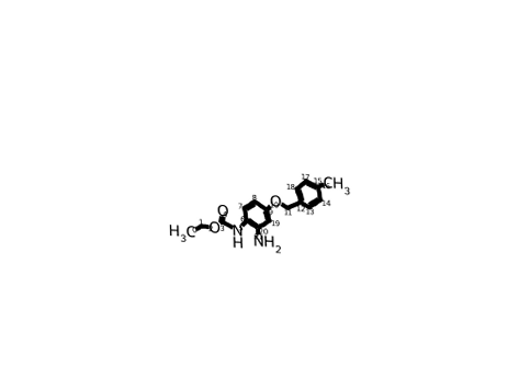 CCOC(=O)Nc1ccc(OCc2ccc(C)cc2)cc1N